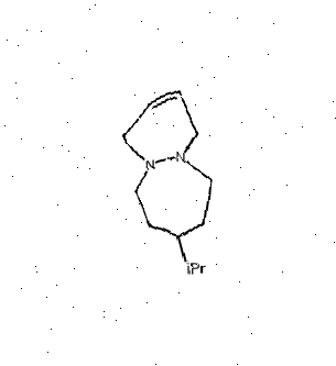 CC(C)C1CCN2CC=CCN2CC1